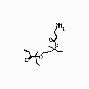 C=CC(=O)C(C)(CC)OCC[C@@](C)(CC)OC(=O)CCN